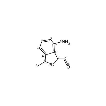 CC1OC(C=O)c2c(N)cccc21